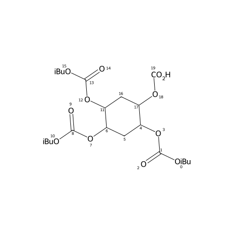 CC(C)COC(=O)OC1CC(OC(=O)OCC(C)C)C(OC(=O)OCC(C)C)CC1OC(=O)O